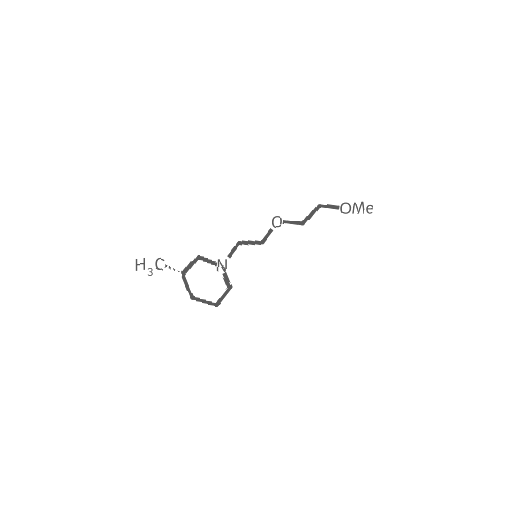 COCCOCCN1CCC[C@H](C)C1